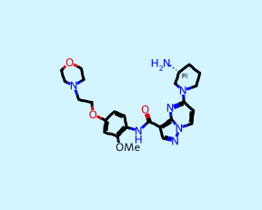 COc1cc(OCCN2CCOCC2)ccc1NC(=O)c1cnn2ccc(N3CCC[C@@H](N)C3)nc12